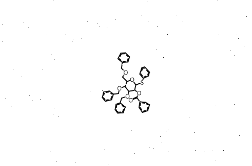 O=C(OC1C(Sc2ccccc2)OC(COCc2ccccc2)C(OCc2ccccc2)C1OCc1ccccc1)c1ccccc1